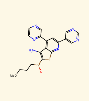 COCCC[S@+]([O-])c1sc2nc(-c3cncnc3)cc(-c3cnccn3)c2c1N